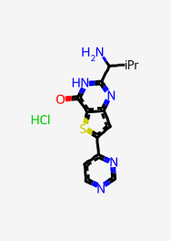 CC(C)C(N)c1nc2cc(-c3ccncn3)sc2c(=O)[nH]1.Cl